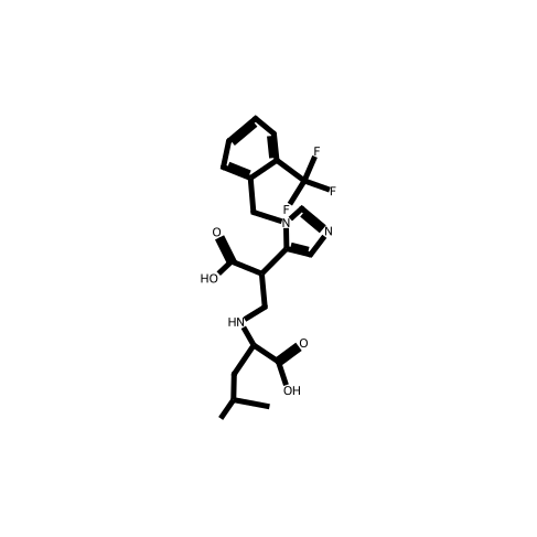 CC(C)CC(NCC(C(=O)O)c1cncn1Cc1ccccc1C(F)(F)F)C(=O)O